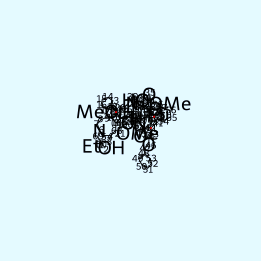 CC[C@]1(O)CC2CN(CCc3c([nH]c4ccccc34)[C@@](C(=O)OC)(c3cc4c(cc3OC)N(C)[C@H]3[C@@](O)(C(=O)OC)[C@H](O[Si]5(CCCCC(=O)OCc6ccccc6)CCCC5)[C@]5(CC)C=CCN6CC[C@]43[C@@H]65)C2)C1